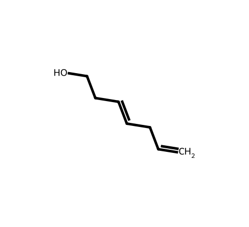 C=CC/C=C/CCO